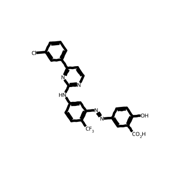 O=C(O)c1cc(N=Nc2cc(Nc3nccc(-c4cccc(Cl)c4)n3)ccc2C(F)(F)F)ccc1O